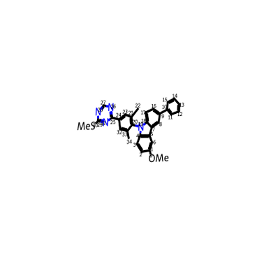 COc1ccc2c(c1)c1cc(-c3ccccc3)ccc1n2-c1c(C)cc(-c2ncnc(SC)n2)cc1C